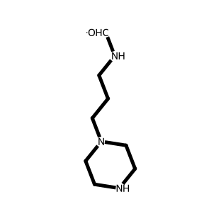 O=[C]NCCCN1CCNCC1